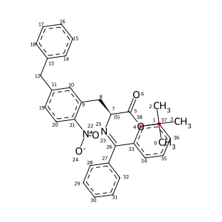 CC(C)(C)OC(=O)[C@H](Cc1cc(Cc2ccccc2)ccc1[N+](=O)[O-])N=C(c1ccccc1)c1ccccc1